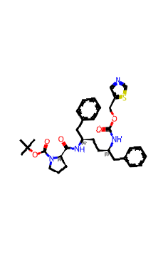 CC(C)(C)OC(=O)N1CCC[C@@H]1C(=O)N[C@H](CC[C@H](Cc1ccccc1)NC(=O)OCc1cncs1)Cc1ccccc1